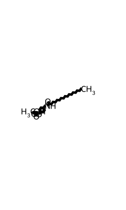 CCCCCCCCCCCCCCCCCC(=O)NCc1ccc(OP(=O)(O)OC)cc1